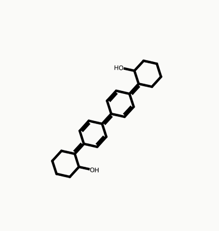 OC1CCCCC1=c1ccc(=c2ccc(=C3CCCCC3O)cc2)cc1